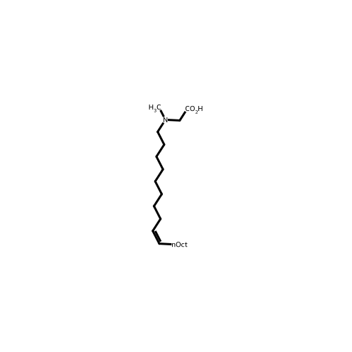 CCCCCCCC/C=C\CCCCCCCCN(C)CC(=O)O